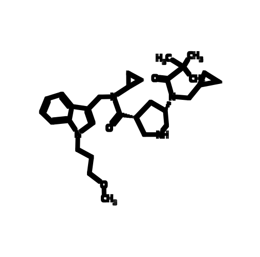 COCCCn1cc(CN(C(=O)[C@H]2CNC[C@@H](N(CC3CC3)C(=O)C(C)(C)C)C2)C2CC2)c2ccccc21